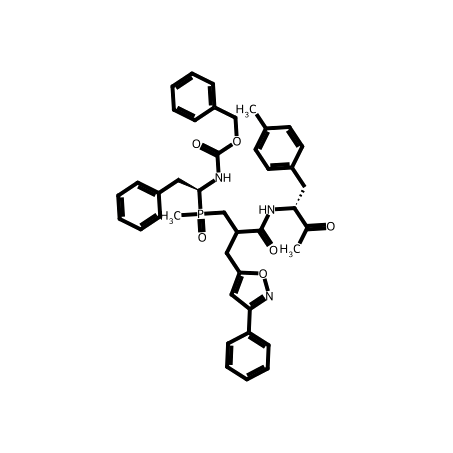 CC(=O)[C@@H](Cc1ccc(C)cc1)NC(=O)C(Cc1cc(-c2ccccc2)no1)CP(C)(=O)[C@@H](Cc1ccccc1)NC(=O)OCc1ccccc1